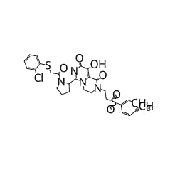 C#C/C=C\C(=C/C)S(=O)(=O)CCN1CCn2c(C3CCCN3C(=O)CSc3ccccc3Cl)nc(=O)c(O)c2C1=O